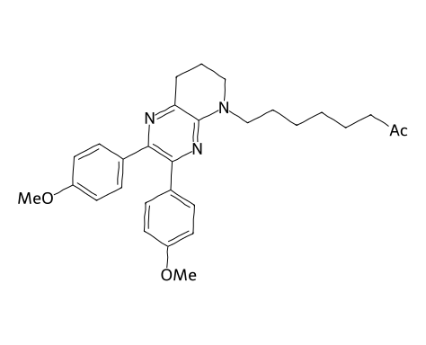 COc1ccc(-c2nc3c(nc2-c2ccc(OC)cc2)N(CCCCCCC(C)=O)CCC3)cc1